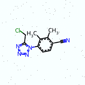 Cc1c(C#N)ccc(-n2nnnc2CCl)c1C